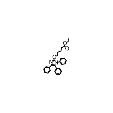 CCOC(=O)CCCCOc1nc(-c2ccccc2)c(-c2ccccc2)n1-c1ccccc1